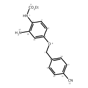 CCOC(=O)Nc1ccc(OCc2ccc(C#N)cc2)cc1N